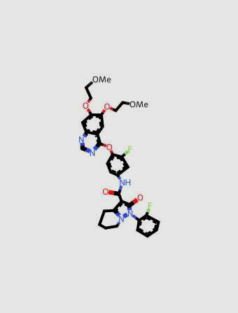 COCCOc1cc2ncnc(Oc3ccc(NC(=O)c4c5n(n(-c6ccccc6F)c4=O)CCCC5)cc3F)c2cc1OCCOC